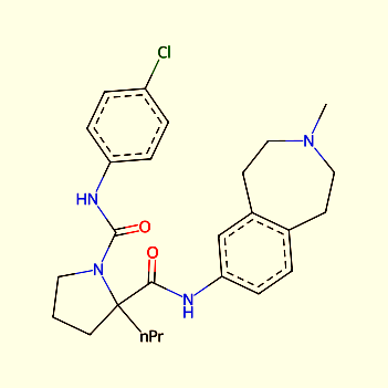 CCCC1(C(=O)Nc2ccc3c(c2)CCN(C)CC3)CCCN1C(=O)Nc1ccc(Cl)cc1